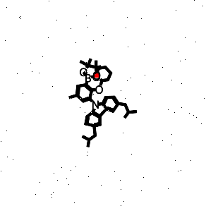 Cc1cc(B2OC(C)(C)C(C)(C)O2)c(OC2CCCCO2)c(-n2c3ccc(CC(C)C)cc3c3cc(CC(C)C)ccc32)c1